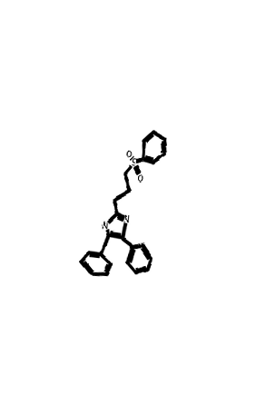 O=S(=O)(CCCC1=NC(c2ccccc2)=C(c2ccccc2)[N]1)c1ccccc1